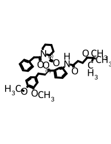 COc1ccc(CC[C@@H](OC(=O)[C@@H]2CCCCN2C(=O)Cc2ccccc2)c2cccc(NC(=O)CCC(=O)C(C)(C)C)c2)cc1OC